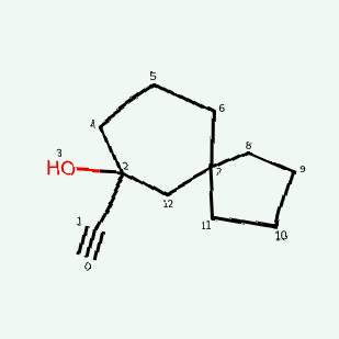 C#CC1(O)CCCC2(CCCC2)C1